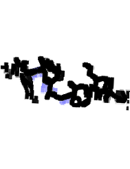 C=CC(=C\C(N)=C(/N)SC(=C)N)/C(C)=C/C=C1/OCCN(C2=NC(N)=NCC2CCC)CC1=C